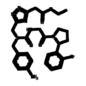 CCOC(=O)Cn1nnc(CN(Cc2ccc(N)cc2)C(=O)NCC(=O)N2CCCC2c2ccccc2Br)n1